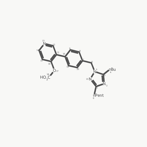 CCCCCc1nc(CCCC)n(Cc2ccc(-c3cnccc3OC(=O)O)cc2)n1